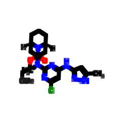 COCCOC(=O)N1[C@@H]2CCC[C@H]1CC(N(C)c1nc(Cl)cc(Nc3cc(C)[nH]n3)n1)C2